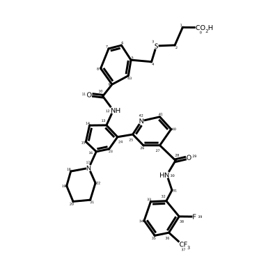 O=C(O)CCSCc1cccc(C(=O)Nc2ccc(N3CCCCC3)cc2-c2cc(C(=O)NCc3cccc(C(F)(F)F)c3F)ccn2)c1